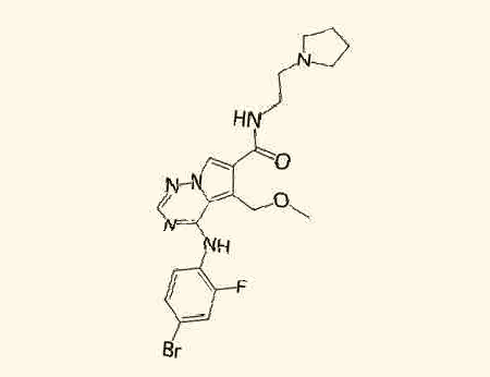 COCc1c(C(=O)NCCN2CCCC2)cn2ncnc(Nc3ccc(Br)cc3F)c12